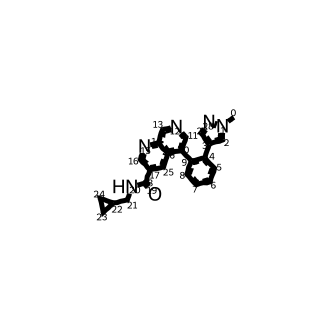 Cn1cc(-c2ccccc2-c2cncc3ncc(C(=O)NCC4CC4)cc23)cn1